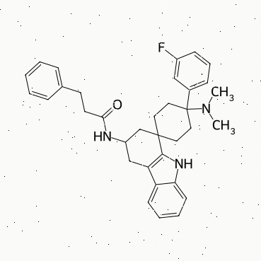 CN(C)C1(c2cccc(F)c2)CCC2(CC1)CC(NC(=O)CCc1ccccc1)Cc1c2[nH]c2ccccc12